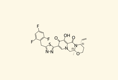 C=C[C@@H]1CCO[C@@]2(C)Cn3cc(-c4nnc(Cc5c(F)cc(F)cc5F)s4)c(=O)c(O)c3C(=O)N12